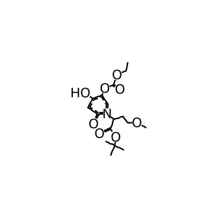 CCOC(=O)Oc1cn(C(CCOC)C(=O)OC(C)(C)C)c(=O)cc1O